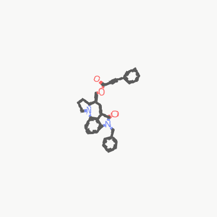 O=C(C#Cc1ccccc1)O/C=C1\C=C2C(=O)N(Cc3ccccc3)c3cccc(c32)N2CCCC12